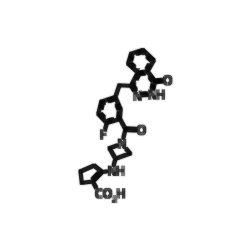 O=C(O)C1=C(NC2CN(C(=O)c3cc(Cc4n[nH]c(=O)c5ccccc45)ccc3F)C2)CCC1